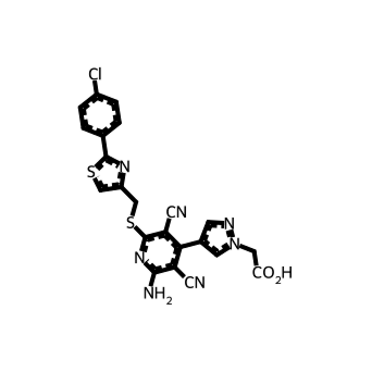 N#Cc1c(N)nc(SCc2csc(-c3ccc(Cl)cc3)n2)c(C#N)c1-c1cnn(CC(=O)O)c1